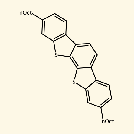 CCCCCCCCc1ccc2c(c1)sc1c2ccc2c3ccc(CCCCCCCC)cc3sc21